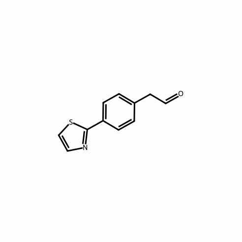 O=CCc1ccc(-c2nccs2)cc1